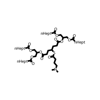 CCCCCCCC(=O)OCC(COC(=O)CCCCCCC)OC(=O)CCC(CCC(=O)OC(COC(=O)CCCCCCC)COC(=O)CCCCCCC)SC(=O)CCCN(C)C